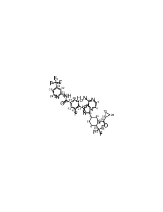 Nc1nccn2c(C3CCC(C(F)(F)F)N(C(=O)C4CC4)C3)nc(-c3ccc(C(=O)Nc4cc(C(F)(F)F)ccn4)cc3F)c12